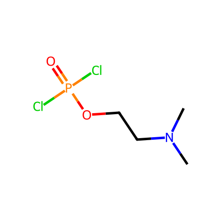 CN(C)CCOP(=O)(Cl)Cl